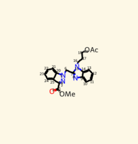 COC(=O)c1nn(Cc2nc3ccccc3n2CCCOC(C)=O)c2ccccc12